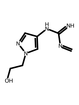 C=NC(=N)Nc1cnn(CCO)c1